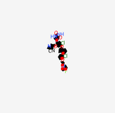 N#Cc1cncc(COc2cc(O[C@H]3CCc4c(-c5cccc(OCCCN6CCC(F)CC6)c5Cl)cccc43)c(Cl)cc2CN2CC3(C2)NC(=O)NC3=O)c1